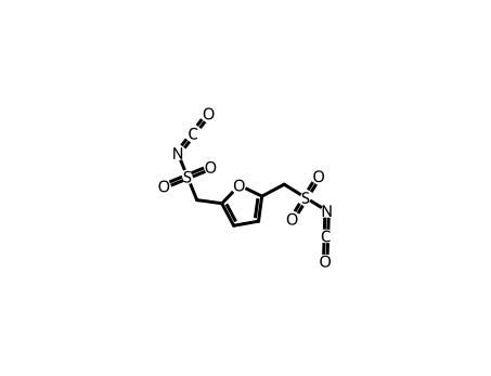 O=C=NS(=O)(=O)Cc1ccc(CS(=O)(=O)N=C=O)o1